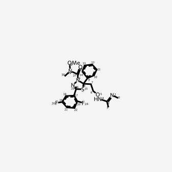 CN=C(C)NOCCC1(c2ccccc2)SC(c2cc(F)ccc2F)=NN1C(=O)N(C)OC